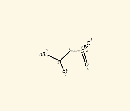 CCCCC(CC)C[SH](=O)=O